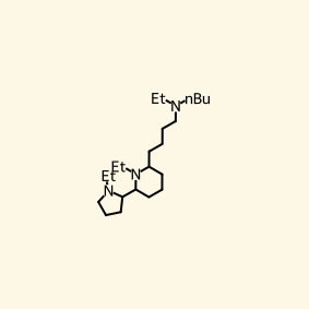 CCCCN(CC)CCCCC1CCCC(C2CCCN2CC)N1CC